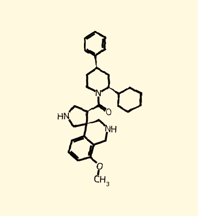 COc1cccc2c1CNC[C@]21CNC[C@H]1C(=O)N1CC[C@@H](c2ccccc2)C[C@H]1C1CCCCC1